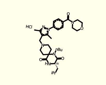 CCCCN1C(=O)[C@H](CC(C)C)NC(=O)C12CCN(Cc1c(C)nn(-c3ccc(C(=O)N4CCOCC4)cc3)c1C)CC2.Cl